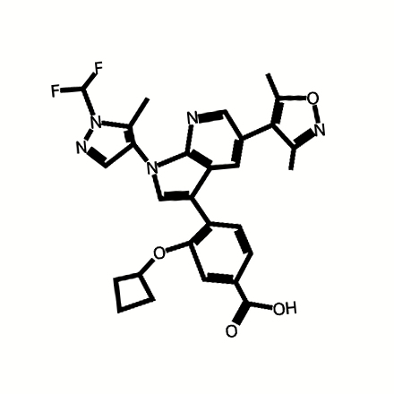 Cc1noc(C)c1-c1cnc2c(c1)c(-c1ccc(C(=O)O)cc1OC1CCC1)cn2-c1cnn(C(F)F)c1C